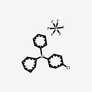 Clc1ccc([S+](c2ccccc2)c2ccccc2)cc1.F[P-](F)(F)(F)(F)F